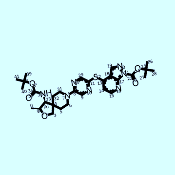 C[C@@H]1OCC2(CCN(c3cnc(Sc4ccnc5c4cnn5C(=O)OC(C)(C)C)cn3)CC2)[C@@H]1NC(=O)OC(C)(C)C